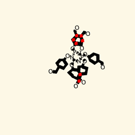 O=Cc1ccc(ON2P(Oc3ccc(C=O)cc3)N=P(Oc3ccc(C=O)cc3)(Oc3ccc(C=O)cc3)N(Oc3ccc(C=O)cc3)P2Oc2ccc(C=O)cc2)cc1